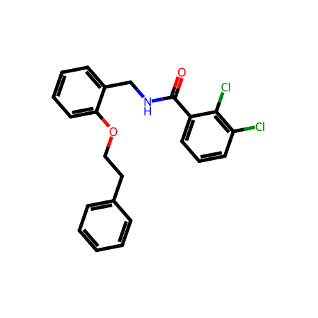 O=C(NCc1ccccc1OCCc1ccccc1)c1cccc(Cl)c1Cl